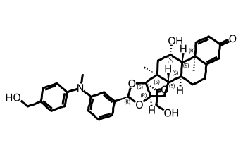 CN(c1ccc(CO)cc1)c1cccc([C@@H]2O[C@@H]3C[C@H]4[C@@H]5CCC6=CC(=O)C=C[C@]6(C)[C@H]5[C@@H](O)C[C@]4(C)[C@]3(C(=O)CO)O2)c1